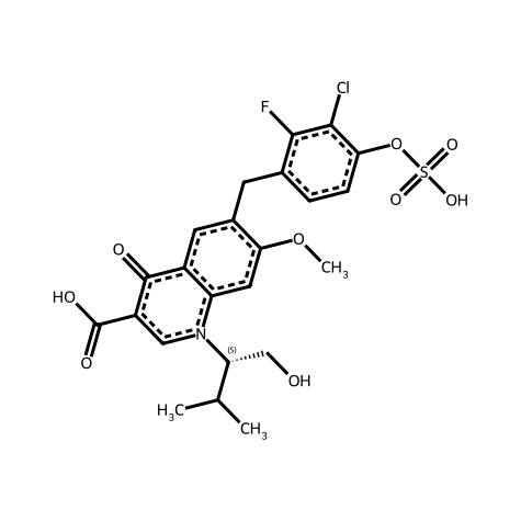 COc1cc2c(cc1Cc1ccc(OS(=O)(=O)O)c(Cl)c1F)c(=O)c(C(=O)O)cn2[C@H](CO)C(C)C